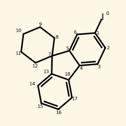 Ic1ccc2c(c1)C1(CCCCC1)c1ccccc1-2